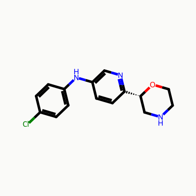 Clc1ccc(Nc2ccc([C@H]3CNCCO3)nc2)cc1